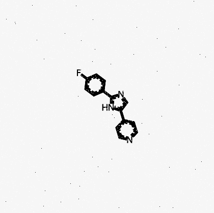 Fc1ccc(-c2ncc(-c3ccncc3)[nH]2)cc1